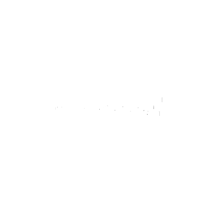 CCCCCCCCCCCCCCCCCNC(O)CC